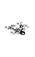 CC1[C@@H](C)C[C@@H](C#N)N1C(=O)[C@@H](N)C12CC3CC(CC(OC(=O)[C@@H](N)CCCNC(=N)N)(C3)C1)C2